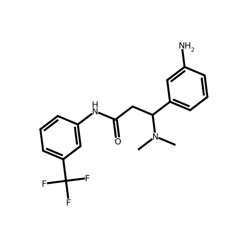 CN(C)C(CC(=O)Nc1cccc(C(F)(F)F)c1)c1cccc(N)c1